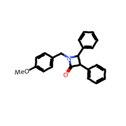 COc1ccc(CN2C(=O)C(c3ccccc3)C2c2ccccc2)cc1